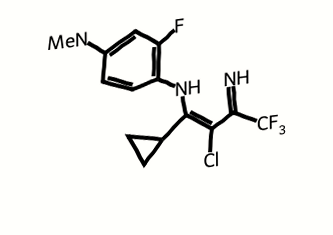 CNc1ccc(N/C(=C(/Cl)C(=N)C(F)(F)F)C2CC2)c(F)c1